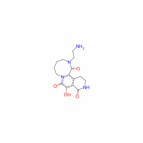 NCCN1CCCCn2c(c3c(c(O)c2=O)C(=O)NCC3)C1=O